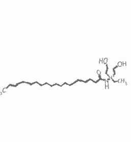 CCCCCCCCCCCCCCCCCC(=O)N[N+](CC)(CCO)CCO